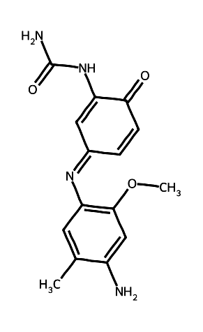 COc1cc(N)c(C)cc1N=C1C=CC(=O)C(NC(N)=O)=C1